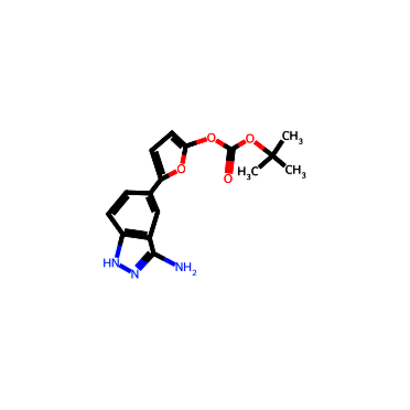 CC(C)(C)OC(=O)Oc1ccc(-c2ccc3[nH]nc(N)c3c2)o1